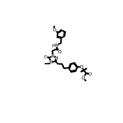 CCn1c(CCCc2ccc(OC(C)(C)C(=O)OC)cc2)nn(CC(=O)NCc2cccc(OC)c2)c1=O